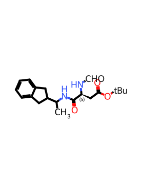 CC(NC(=O)[C@H](CC(=O)OC(C)(C)C)NC=O)C1Cc2ccccc2C1